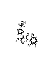 CC(C)c1ccc(F)c(C(C)C)c1CC(=O)N(c1cnc(C(C)(C)O)s1)[S@@+](N)[O-]